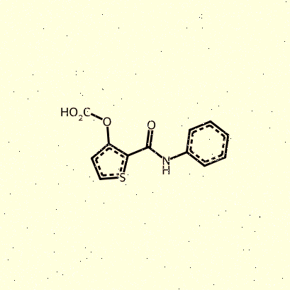 O=C(O)Oc1ccsc1C(=O)Nc1ccccc1